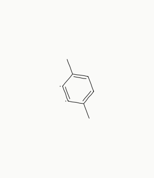 Cc1[c][c]c(C)cc1